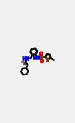 Cc1ccc(S(=O)(=O)Nc2ccccc2CN[C@@H](C)CC2CCCCC2)s1